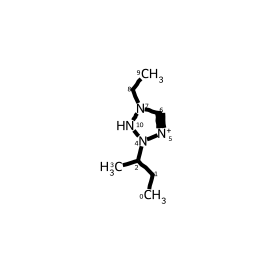 CCC(C)N1[N+]#CN(CC)N1